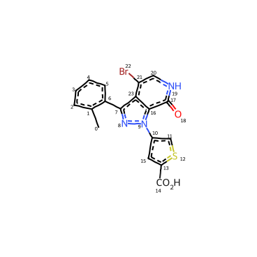 Cc1ccccc1-c1nn(-c2csc(C(=O)O)c2)c2c(=O)[nH]cc(Br)c12